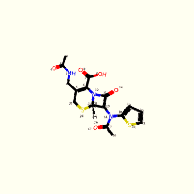 CC(=O)NCC1=C(C(=O)O)N2C(=O)C(N(C(C)=O)c3cccs3)[C@@H]2SC1